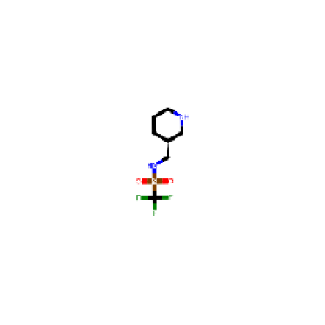 O=S(=O)(NC[C@H]1CCCNC1)C(F)(F)F